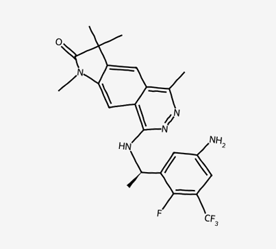 Cc1nnc(N[C@H](C)c2cc(N)cc(C(F)(F)F)c2F)c2cc3c(cc12)C(C)(C)C(=O)N3C